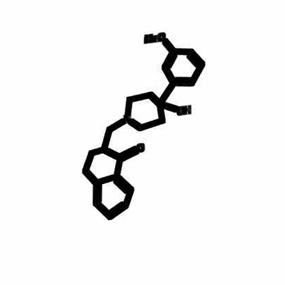 COc1cccc(C2(O)CCN(CC3CCc4ccccc4C3=O)CC2)c1